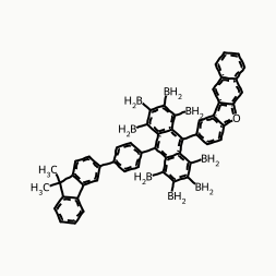 Bc1c(B)c(B)c2c(-c3ccc4oc5cc6ccccc6cc5c4c3)c3c(B)c(B)c(B)c(B)c3c(-c3ccc(-c4ccc5c(c4)-c4ccccc4C5(C)C)cc3)c2c1B